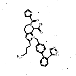 CCCCc1nc2c(n1Cc1ccc(-c3ccccc3-c3nnn[nH]3)cc1)C(C(=O)O)N(C(=O)c1cccs1)CC2